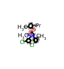 C/N=C(\c1cc(Cl)cc(Cl)c1)N(CC(=O)O[C@@H]1C[C@H](C)CC[C@H]1C(C)C)c1ccccc1C